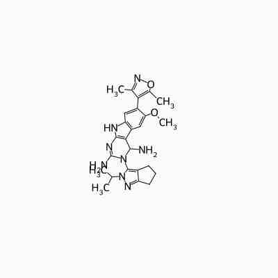 COc1cc2c3c([nH]c2cc1-c1c(C)noc1C)N=C(N)N(c1c2c(nn1C(C)C)CCC2)C3N